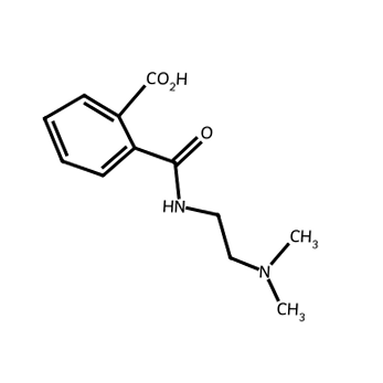 CN(C)CCNC(=O)c1ccccc1C(=O)O